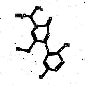 CCOc1cn(C(C)C(=O)O)c(=O)cc1-c1cc(Cl)ccc1C#N